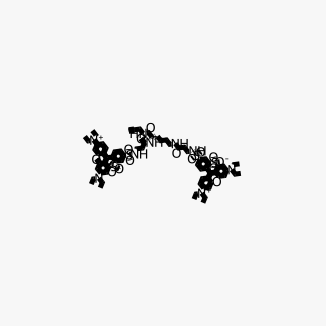 C#CCNC(=O)[C@H](CCCCNC(=O)CCNS(=O)(=O)c1ccc(-c2c3ccc(=[N+](CC)CC)cc-3oc3cc(N(CC)CC)ccc23)c(S(=O)(=O)[O-])c1)NC(=O)CCNS(=O)(=O)c1ccc(-c2c3ccc(=[N+](CC)CC)cc-3oc3cc(N(CC)CC)ccc23)c(S(=O)(=O)[O-])c1